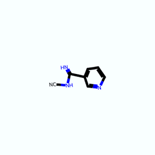 N#CNC(=N)c1cccnc1